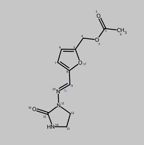 CC(=O)OCc1ccc(/C=N/N2CCNC2=O)o1